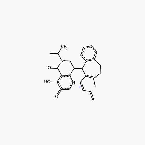 C=C/C=C\C1=C(C)CCc2ccccc2C1C1CN(C(C)C(F)(F)F)C(=O)c2c(O)c(=O)cnn21